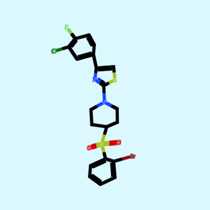 O=S(=O)(c1ccccc1Br)C1CCN(c2nc(-c3ccc(F)c(Cl)c3)cs2)CC1